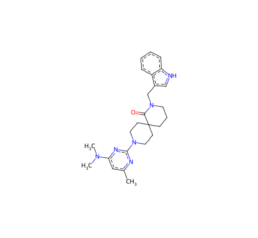 Cc1cc(N(C)C)nc(N2CCC3(CCCN(Cc4c[nH]c5ccccc45)C3=O)CC2)n1